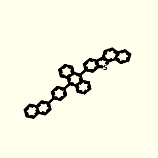 c1ccc2cc(-c3ccc(-c4c5ccccc5c(-c5ccc6c(c5)sc5c7ccccc7ccc65)c5ccccc45)cc3)ccc2c1